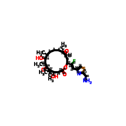 C[C@H]1CCC[C@@]2(C)O[C@H]2C[C@@H](C(F)=Cc2csc(CN)n2)OC(=O)C[C@H](O)C(C)(C)C(=O)[C@H](C)[C@H]1O